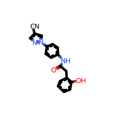 N#Cc1cnn(-c2ccc(NC(=O)Cc3ccccc3O)cc2)c1